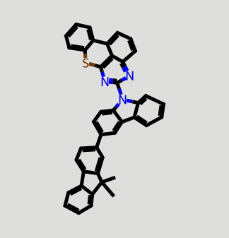 CC1(C)c2ccccc2-c2ccc(-c3ccc4c(c3)c3ccccc3n4-c3nc4c5c(cccc5n3)-c3ccccc3S4)cc21